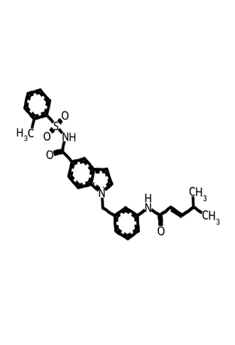 Cc1ccccc1S(=O)(=O)NC(=O)c1ccc2c(ccn2Cc2cccc(NC(=O)C=CC(C)C)c2)c1